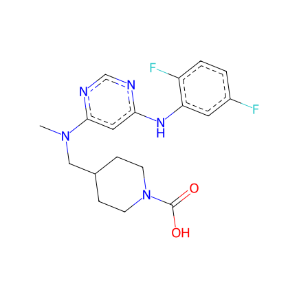 CN(CC1CCN(C(=O)O)CC1)c1cc(Nc2cc(F)ccc2F)ncn1